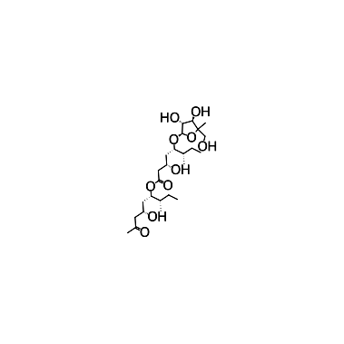 CC[C@H](C)[C@H](C[C@H](O)CC(C)=O)OC(=O)C[C@@H](O)C[C@H](O[C@@H]1OC(C)(CO)[C@H](O)[C@H]1O)[C@@H](C)CC